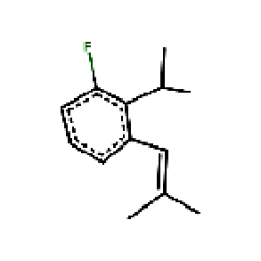 CC(C)=Cc1cccc(F)c1C(C)C